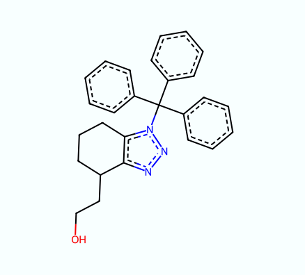 OCCC1CCCc2c1nnn2C(c1ccccc1)(c1ccccc1)c1ccccc1